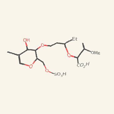 CCC(CCOC1C(COS(=O)(=O)O)OCC(C)C1O)OC(C(=O)O)C(C)OC